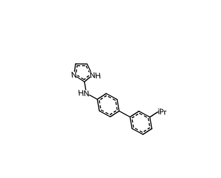 CC(C)c1cccc(-c2ccc(Nc3ncc[nH]3)cc2)c1